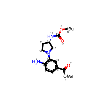 COC(=O)c1ccc(N)c(N2CC[C@H](NC(=O)OC(C)(C)C)C2)c1